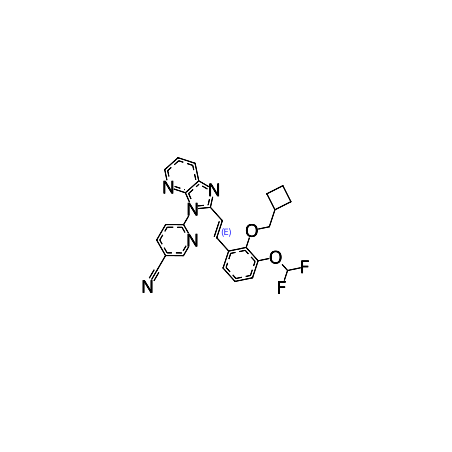 N#Cc1ccc(-n2c(/C=C/c3cccc(OC(F)F)c3OCC3CCC3)nc3cccnc32)nc1